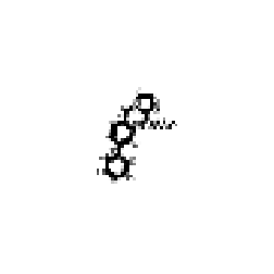 COc1nccn1Cc1ccc(-c2ccccc2)cc1